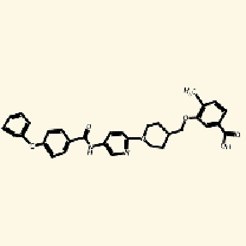 Cc1ccc(C(=O)O)cc1OCC1CCN(c2ccc(NC(=O)c3ccc(Oc4ccccc4)cc3)cn2)CC1